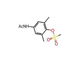 CC(=O)Nc1cc(C)c(OS(C)(=O)=O)c(C)c1